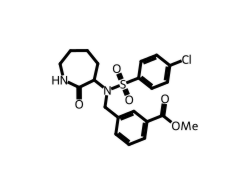 COC(=O)c1cccc(CN(C2CCCCNC2=O)S(=O)(=O)c2ccc(Cl)cc2)c1